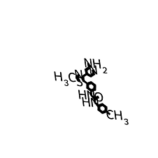 Cc1ccc(NC(=O)Nc2cccc(-c3sc(C)nc3-c3ccnc(N)c3)c2)cc1